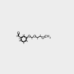 COCCOCOc1cccc(C=O)c1